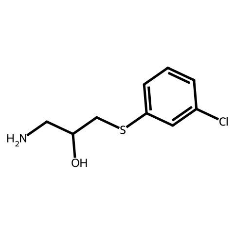 NCC(O)CSc1cccc(Cl)c1